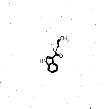 C=CCOC(=O)c1[c][nH]c2ccccc12